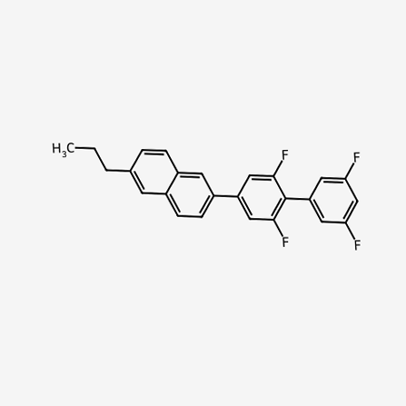 CCCc1ccc2cc(-c3cc(F)c(-c4cc(F)cc(F)c4)c(F)c3)ccc2c1